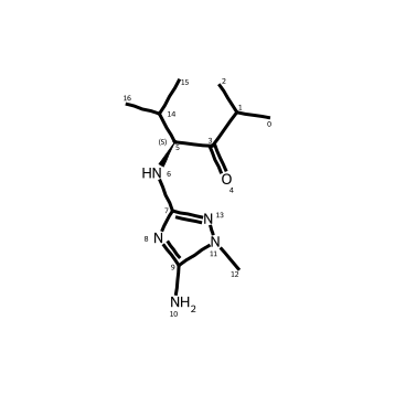 CC(C)C(=O)[C@@H](Nc1nc(N)n(C)n1)C(C)C